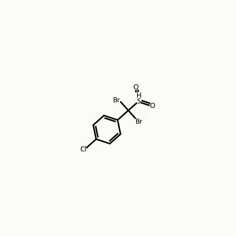 O=[SH](=O)C(Br)(Br)c1ccc(Cl)cc1